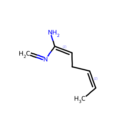 C=N/C(N)=C\C/C=C\C